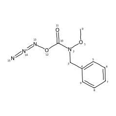 CON(Cc1ccccc1)C(=O)ON=[N+]=[N-]